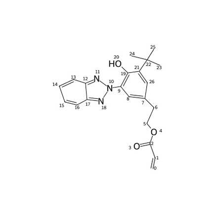 C=CC(=O)OCCc1cc(-n2nc3ccccc3n2)c(O)c(C(C)(C)C)c1